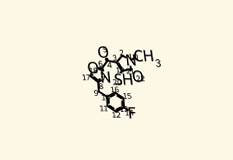 CN1CC(C(=O)c2nc(Cc3ccc(F)cc3)co2)=C(S)C1=O